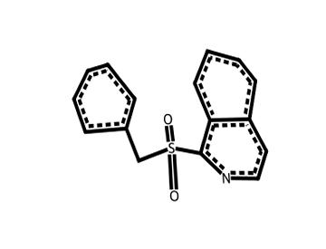 O=S(=O)(Cc1ccccc1)c1nccc2ccccc12